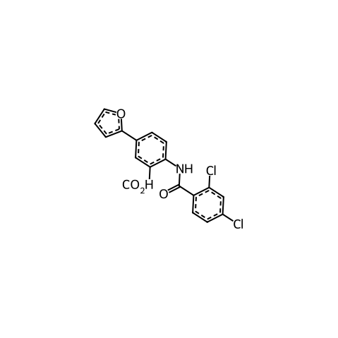 O=C(Nc1ccc(-c2ccco2)cc1C(=O)O)c1ccc(Cl)cc1Cl